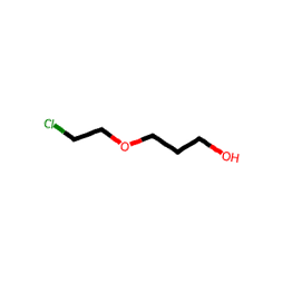 OCCCOCCCl